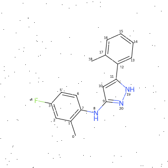 Cc1cc(F)ccc1Nc1cc(-c2ccccc2C)[nH]n1